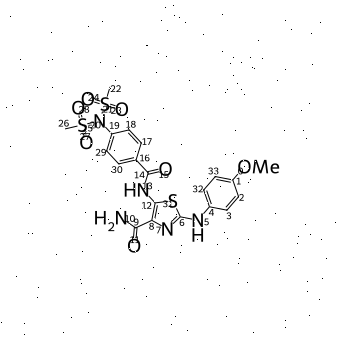 COc1ccc(Nc2nc(C(N)=O)c(NC(=O)c3ccc(N(S(C)(=O)=O)S(C)(=O)=O)cc3)s2)cc1